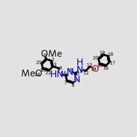 COc1cc(CNc2ccnc(NCCOc3ccccc3)n2)cc(OC)c1